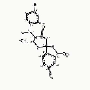 CC[C@@H](c1ccc(Br)cc1)N1CCC(CCO)(c2ccc(F)cc2)CC1=O